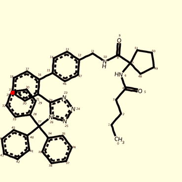 CCCCC(=O)NC1(C(=O)NCc2ccc(-c3ccccc3-c3nnnn3C(c3ccccc3)(c3ccccc3)c3ccccc3)cc2)CCCC1